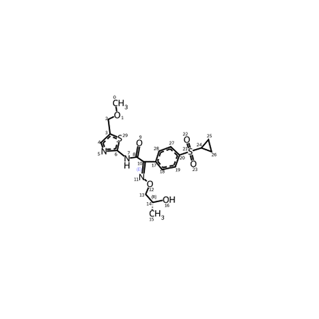 COCc1cnc(NC(=O)/C(=N/OC[C@@H](C)O)c2ccc(S(=O)(=O)C3CC3)cc2)s1